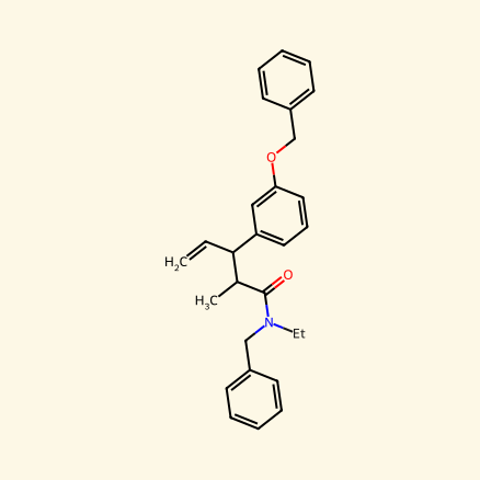 C=CC(c1cccc(OCc2ccccc2)c1)C(C)C(=O)N(CC)Cc1ccccc1